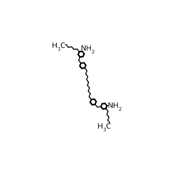 CCCCCCc1cc(Cc2ccc(CCCCCCCCCCc3ccc(Cc4ccc(N)c(CCCCCC)c4)cc3)cc2)ccc1N